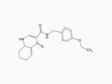 CCOc1ccc(CNC(=O)C2=CNC3CCCC=C3C2=O)cc1